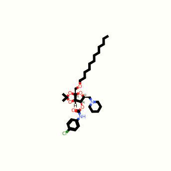 CCCCCCCCCCCCOC[C@@]12O[C@@H](CN3CCCCC3)[C@@H](OC(=O)Nc3ccc(Cl)cc3)[C@@H]1OC(C)(C)O2